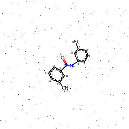 CCc1cccc(NC(=O)c2cccc(C#N)c2)c1